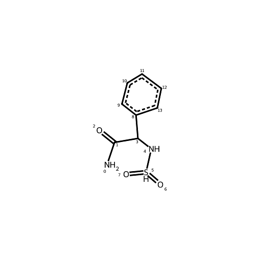 NC(=O)C(N[SH](=O)=O)c1ccccc1